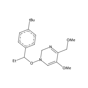 CCC(ON1C=C(OC)C(COC)=NC1)c1ccc(C(C)(C)C)cc1